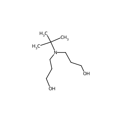 CC(C)(C)N(CCCO)CCCO